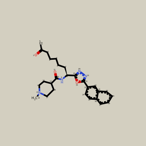 CCC(=O)CCCCC[C@H](NC(=O)C1CCN(C)CC1)c1nnc(-c2ccc3ccccc3c2)o1